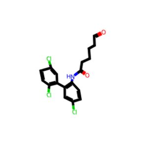 O=CCCCCC(=O)Nc1ccc(Cl)cc1-c1cc(Cl)ccc1Cl